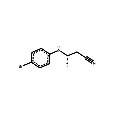 N#CC[C@H](I)Nc1ccc(Br)cc1